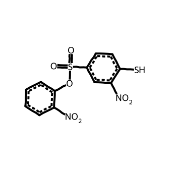 O=[N+]([O-])c1cc(S(=O)(=O)Oc2ccccc2[N+](=O)[O-])ccc1S